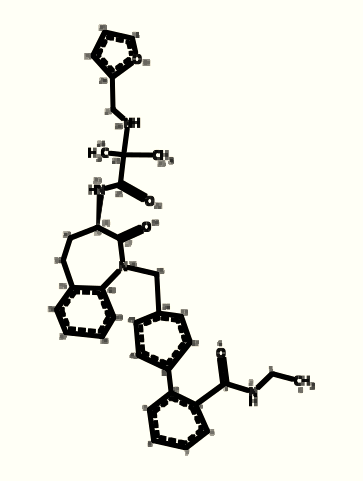 CCNC(=O)c1ccccc1-c1ccc(CN2C(=O)[C@H](NC(=O)C(C)(C)NCc3ccco3)CCc3ccccc32)cc1